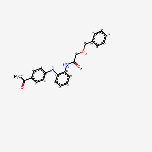 CC(=O)c1ccc(Nc2ccccc2NC(=O)COCc2ccccc2)cc1